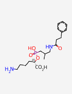 CC(CNC(=O)CCc1ccccc1)CP(=O)(O)O[C@@H](CCCCN)C(=O)O